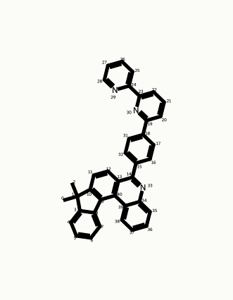 CC1(C)c2ccccc2-c2c1ccc1c(-c3ccc(-c4cccc(-c5ccccn5)n4)cc3)nc3ccccc3c21